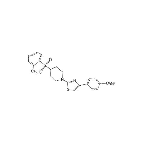 COc1ccc(-c2csc(N3CCC(S(=O)(=O)c4ccccc4C(F)(F)F)CC3)n2)cc1